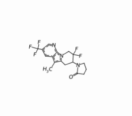 Cc1c2n(c3ncc(C(F)(F)F)cc13)CC(F)(F)C(N1CCCC1=O)C2